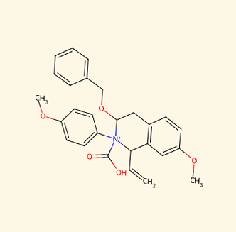 C=CC1c2cc(OC)ccc2CC(OCc2ccccc2)[N+]1(C(=O)O)c1ccc(OC)cc1